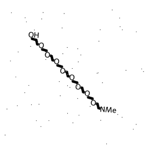 CNCCOCCOCCOCCOCCOCCOCCOCCOCCCO